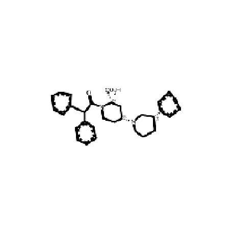 O=C(O)[C@@H]1C[C@H](N2CCC[C@@H](c3ccccc3)C2)CCN1C(=O)C(c1ccccc1)c1ccccc1